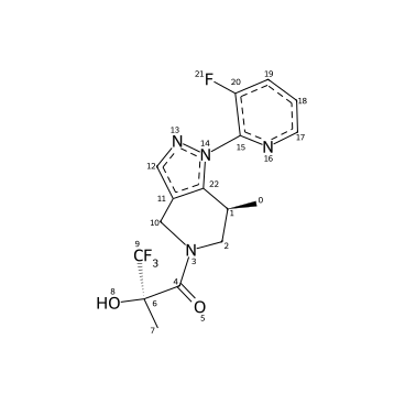 C[C@H]1CN(C(=O)[C@@](C)(O)C(F)(F)F)Cc2cnn(-c3ncccc3F)c21